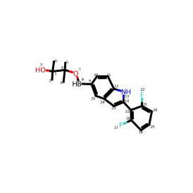 CC(C)(O)C(C)(C)OBc1ccc2[nH]c(-c3c(F)cccc3F)cc2c1